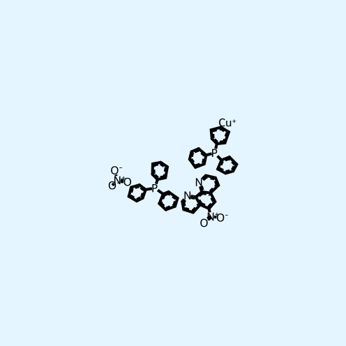 O=[N+]([O-])[O-].O=[N+]([O-])c1cc2cccnc2c2ncccc12.[Cu+].c1ccc(P(c2ccccc2)c2ccccc2)cc1.c1ccc(P(c2ccccc2)c2ccccc2)cc1